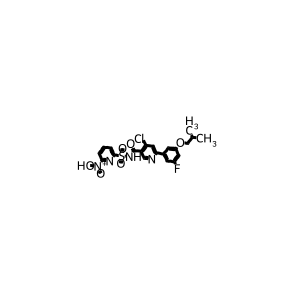 CC(C)COc1cc(F)cc(-c2cc(Cl)c(C(=O)NS(=O)(=O)c3cccc([N+](=O)O)n3)cn2)c1